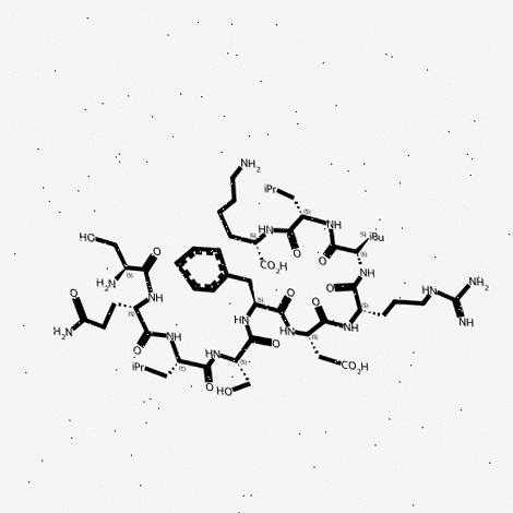 CC[C@H](C)[C@H](NC(=O)[C@H](CCCNC(=N)N)NC(=O)[C@H](CC(=O)O)NC(=O)[C@H](Cc1ccccc1)NC(=O)[C@H](CO)NC(=O)[C@H](CC(C)C)NC(=O)[C@H](CCC(N)=O)NC(=O)[C@@H](N)CO)C(=O)N[C@@H](CC(C)C)C(=O)N[C@@H](CCCCN)C(=O)O